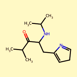 CC(C)NC(CC1=CCC=N1)C(=O)C(C)C